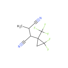 CC(C#N)C(C#N)C1(C(F)(F)F)CC1(F)F